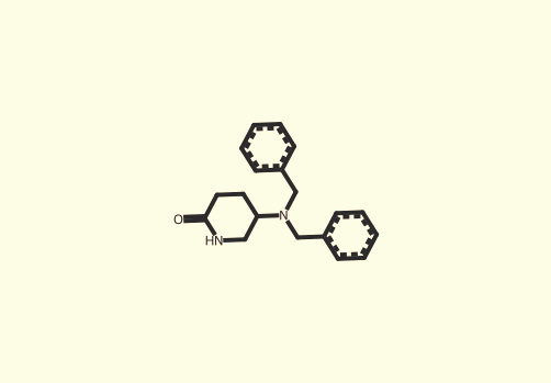 O=C1CCC(N(Cc2ccccc2)Cc2ccccc2)CN1